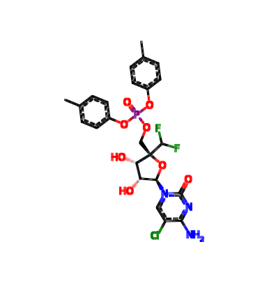 Cc1ccc(OP(=O)(OC[C@@]2(C(F)F)O[C@@H](n3cc(Cl)c(N)nc3=O)[C@H](O)[C@@H]2O)Oc2ccc(C)cc2)cc1